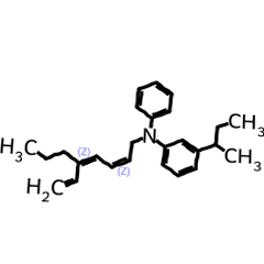 C=C/C(=C\C=C/CN(c1ccccc1)c1cccc(C(C)CC)c1)CCC